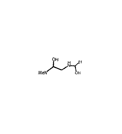 CCC(O)NCC(O)NC